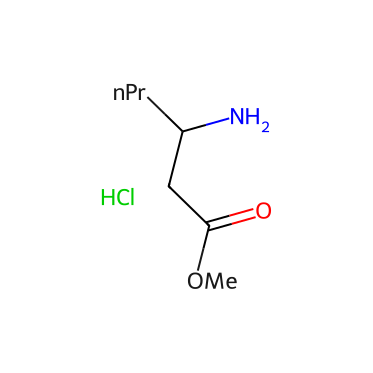 CCCC(N)CC(=O)OC.Cl